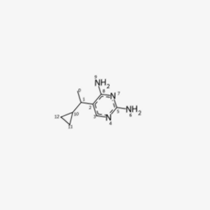 CC(c1cnc(N)nc1N)C1CC1